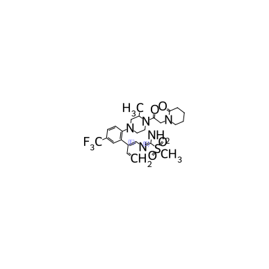 C=C/C(=C\N=C(/N)S(C)(=O)=O)c1cc(C(F)(F)F)ccc1N1CCN(C(=O)CN2CCCCC2=O)C(C)C1